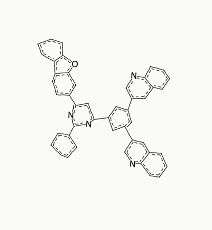 c1ccc(-c2nc(-c3cc(-c4cnc5ccccc5c4)cc(-c4cnc5ccccc5c4)c3)cc(-c3ccc4c(c3)oc3ccccc34)n2)cc1